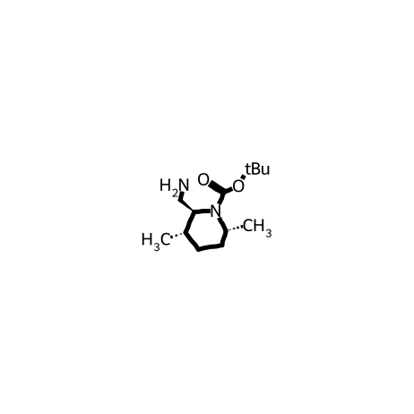 C[C@@H]1CC[C@H](C)[C@@H](CN)N1C(=O)OC(C)(C)C